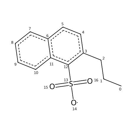 CCCc1ccc2ccccc2c1S([O])(=O)=O